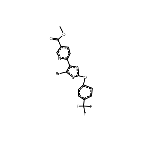 COC(=O)c1ccc(-c2nc(Oc3ccc(C(F)(F)F)cc3)sc2Br)nc1